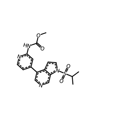 COC(=O)Nc1cc(-c2cncc3c2ccn3S(=O)(=O)C(C)C)ccn1